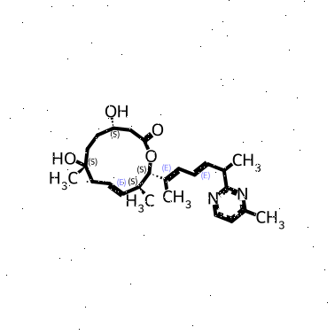 C/C(=C\C=C\C(C)c1nccc(C)n1)[C@H]1OC(=O)C[C@@H](O)CC[C@@](C)(O)[CH]/C=C/[C@@H]1C